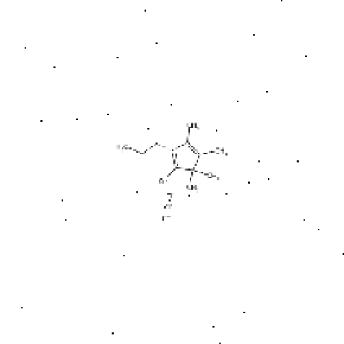 CCCC1=[C]([Zr+3])C(C)(C)C(C)=C1C.[Cl-].[Cl-].[Cl-]